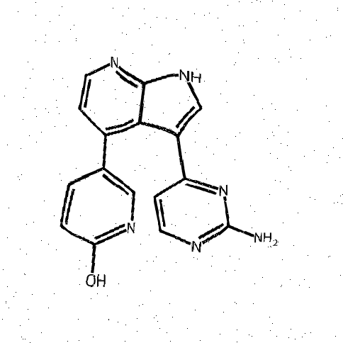 Nc1nccc(-c2c[nH]c3nccc(-c4ccc(O)nc4)c23)n1